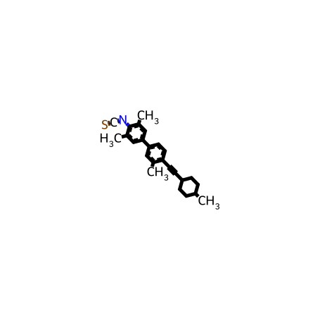 Cc1cc(-c2cc(C)c(N=C=S)c(C)c2)ccc1C#CC1CCC(C)CC1